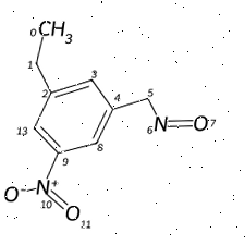 CCc1cc(CN=O)cc([N+](=O)[O-])c1